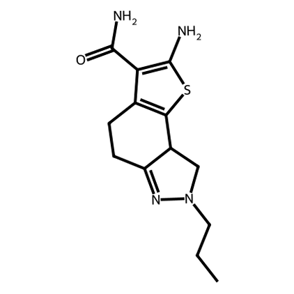 CCCN1CC2C(=N1)CCc1c2sc(N)c1C(N)=O